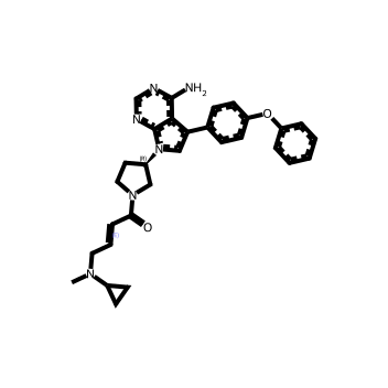 CN(C/C=C/C(=O)N1CC[C@@H](n2cc(-c3ccc(Oc4ccccc4)cc3)c3c(N)ncnc32)C1)C1CC1